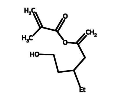 C=C(CC(CC)CCO)OC(=O)C(=C)C